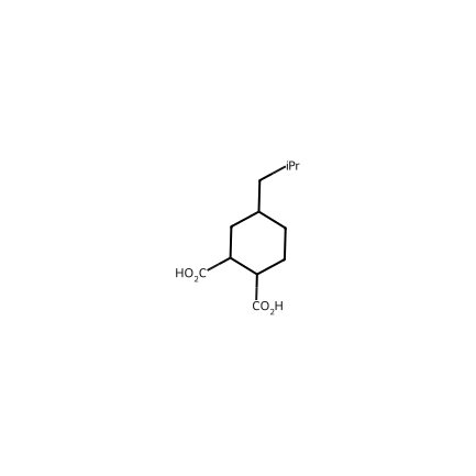 CC(C)CC1CCC(C(=O)O)C(C(=O)O)C1